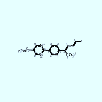 CC=CC=C(C(=O)O)c1ccc(-c2ncc(CCCCC)cn2)cc1